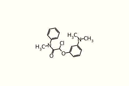 CN(C)c1cccc(OC(Cl)C(=O)N(C)c2ccccc2)c1